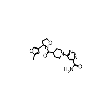 Cc1cc(C2CCON2C(=O)C2CCN(c3cc(C(N)=O)ncn3)CC2)co1